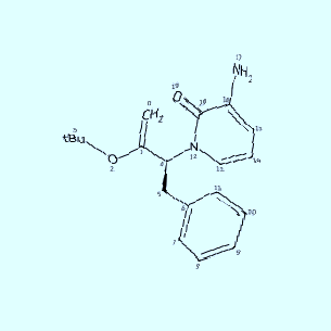 C=C(OC(C)(C)C)[C@H](Cc1ccccc1)n1cccc(N)c1=O